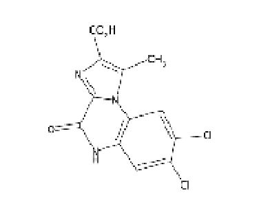 Cc1c(C(=O)O)nc2c(=O)[nH]c3cc(Cl)c(Cl)cc3n12